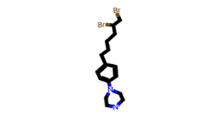 BrCC(Br)CCCCc1ccc(N2CC[N]CC2)cc1